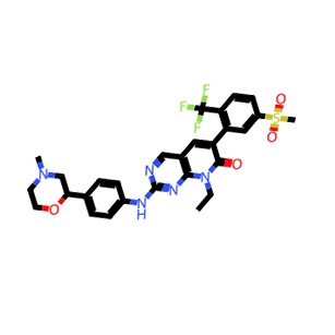 CCn1c(=O)c(-c2cc(S(C)(=O)=O)ccc2C(F)(F)F)cc2cnc(Nc3ccc(C4CN(C)CCO4)cc3)nc21